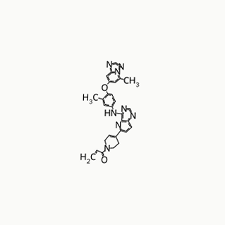 C=CC(=O)N1CC=C(c2ccc3ncnc(Nc4ccc(Oc5cc(C)n6ncnc6c5)c(C)c4)c3n2)CC1